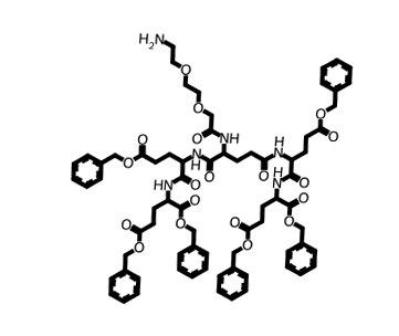 NCCOCCOCC(=O)NC(CCC(=O)NC(CCC(=O)OCc1ccccc1)C(=O)NC(CCC(=O)OCc1ccccc1)C(=O)OCc1ccccc1)C(=O)NC(CCC(=O)OCc1ccccc1)C(=O)NC(CCC(=O)OCc1ccccc1)C(=O)OCc1ccccc1